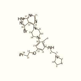 Cc1c(NCCN2CCCC2)cc(OCCC(C)C)cc1N1CCN(c2ncnc3[nH]nc(Br)c23)CC1